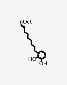 CCCCCCCC/C=C/CCCCCCCc1cccc(O)c1O